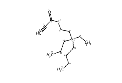 C#CC(=O)SCC[N+](CC)(CCC)CCCC